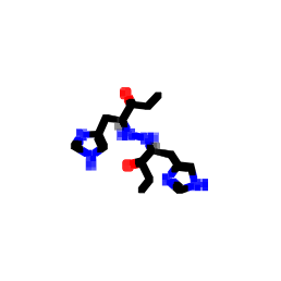 CCC(=O)[C@H](Cc1c[nH]cn1)NN[C@@H](Cc1c[nH]cn1)C(=O)CC